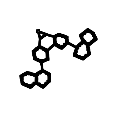 c1ccc2c(-c3ccc4c(c3)-c3cc(-c5cccc6ccccc56)ccc3C3OC43)cccc2c1